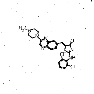 CN1CCN(c2cnc3ccc(/C=C4\SC(Nc5c(Cl)cccc5Cl)=NC4=O)cc3n2)CC1